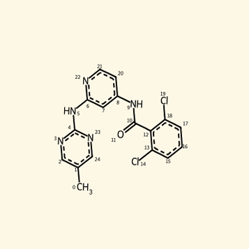 Cc1cnc(Nc2cc(NC(=O)c3c(Cl)cccc3Cl)ccn2)nc1